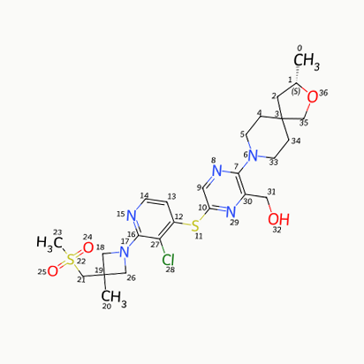 C[C@H]1CC2(CCN(c3ncc(Sc4ccnc(N5CC(C)(CS(C)(=O)=O)C5)c4Cl)nc3CO)CC2)CO1